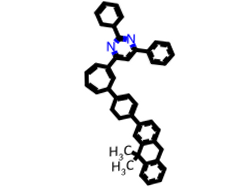 CC1(C)c2ccccc2Cc2ccc(C3=CC=C(C4C=CC=CC(c5cc(-c6ccccc6)nc(C6C=CC=CC6)n5)=C4)CC3)cc21